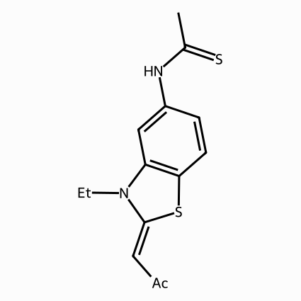 CCN1/C(=C/C(C)=O)Sc2ccc(NC(C)=S)cc21